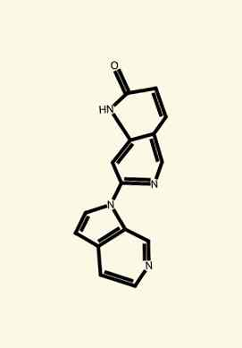 O=c1ccc2cnc(-n3ccc4ccncc43)cc2[nH]1